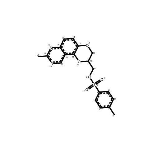 Cc1ccc(S(=O)(=O)OCC2COc3ccc4nc(C)ncc4c3O2)cc1